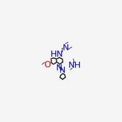 CCNCC.CCOc1ccc2c(NCCN(CC)CC)ccc(N=Nc3ccccc3)c2c1